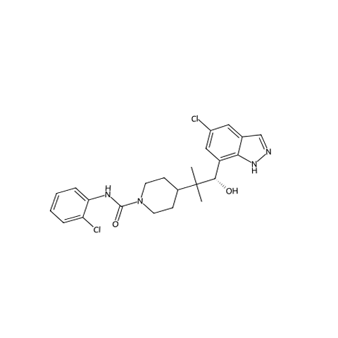 CC(C)(C1CCN(C(=O)Nc2ccccc2Cl)CC1)[C@@H](O)c1cc(Cl)cc2cn[nH]c12